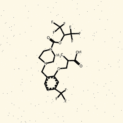 CC(COc1cc(C(F)(F)F)ccc1CN1CCN(C(=O)OC(C(F)(F)F)C(F)(F)F)CC1)C(=O)O